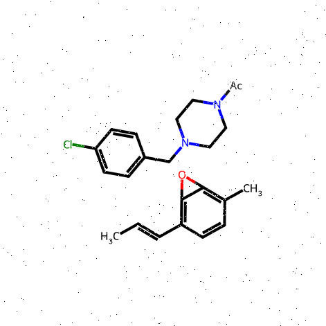 CC(=O)N1CCN(Cc2ccc(Cl)cc2)CC1.CC=Cc1ccc(C)c2c1O2